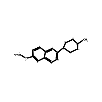 CCCCCOc1ccc2cc(C3CCC(C)CC3)ccc2c1